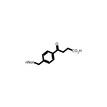 CCCCCCCCCCc1ccc(C(=O)CCC(=O)O)cc1